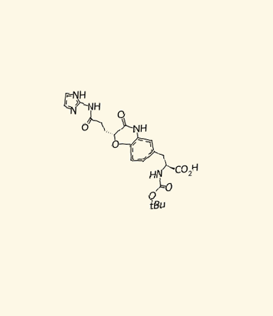 CC(C)(C)OC(=O)N[C@@H](Cc1ccc2c(c1)NC(=O)[C@@H](CCC(=O)Nc1ncc[nH]1)O2)C(=O)O